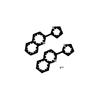 [Ir+3].c1csc(-c2ccc3ccccc3n2)c1.c1csc(-c2ccc3ccccc3n2)c1